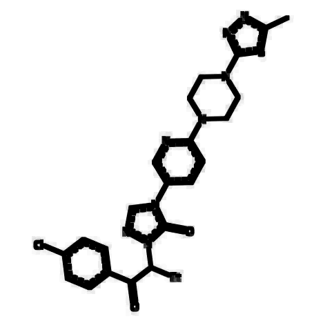 CCC(C(=O)c1ccc(Cl)cc1)n1ncn(-c2ccc(N3CCN(c4nnc(C)s4)CC3)nc2)c1=O